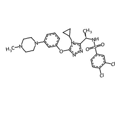 C[C@@H](NS(=O)(=O)c1ccc(Cl)c(Cl)c1)c1nnc(Oc2cccc(N3CCN(C)CC3)c2)n1C1CC1